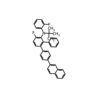 CC(C)(C)N(c1ccccc1F)c1c(F)ccc(-c2ccc(-c3ccc4ccccc4c3)cc2)c1-c1ccccc1